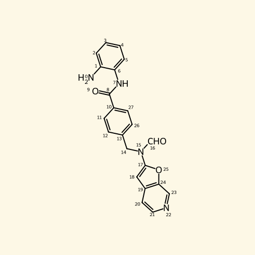 Nc1ccccc1NC(=O)c1ccc(CN(C=O)c2cc3ccncc3o2)cc1